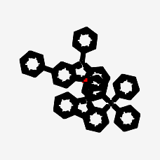 c1ccc(-c2ccc3c4c(-n5c6ccccc6c6cccc([Si](c7ccccc7)(c7ccccc7)c7ccccc7)c65)cccc4n(-c4ccccc4)c3c2)cc1